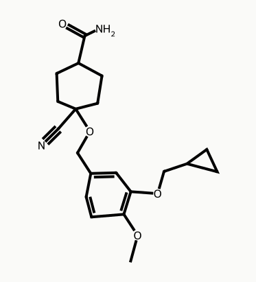 COc1ccc(COC2(C#N)CCC(C(N)=O)CC2)cc1OCC1CC1